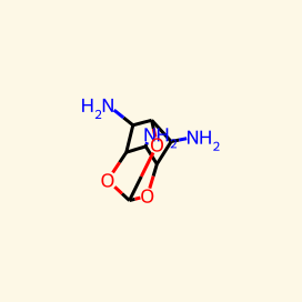 NC1C2OC3OC1C(N)C(O3)C2N